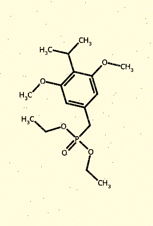 CCOP(=O)(Cc1cc(OC)c(C(C)C)c(OC)c1)OCC